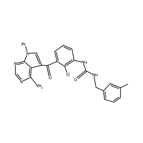 Cc1cccc(CNC(=O)Nc2cccc(C(=O)c3cn(C(C)C)c4ncnc(N)c34)c2Cl)c1